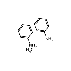 C.Nc1ccccc1.Nc1ccccc1